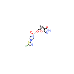 C[C@@H](COCCC(=O)N1CCN(c2ncc(Cl)s2)CC1)Oc1cn[nH]c(=O)c1C(F)(F)F